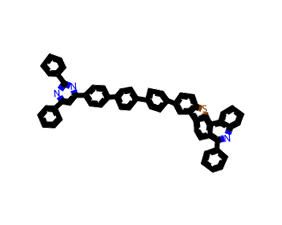 c1ccc(-c2cc(-c3ccc(-c4ccc(-c5ccc(-c6ccc7sc8c(ccc9c(-c%10ccccc%10)nc%10ccccc%10c98)c7c6)cc5)cc4)cc3)nc(-c3ccccc3)n2)cc1